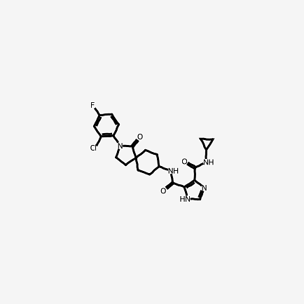 O=C(NC1CC1)c1nc[nH]c1C(=O)NC1CCC2(CC1)CCN(c1ccc(F)cc1Cl)C2=O